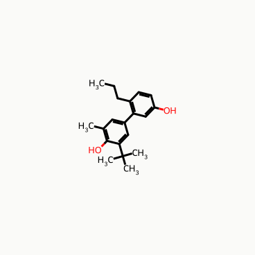 CCCc1ccc(O)cc1-c1cc(C)c(O)c(C(C)(C)C)c1